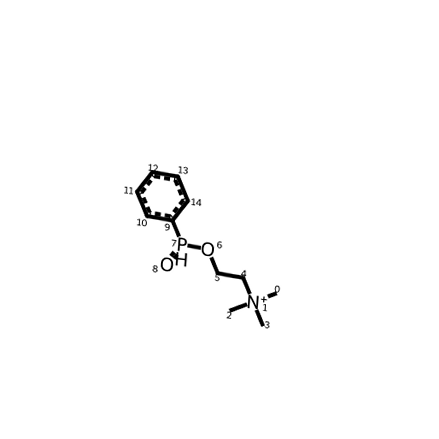 C[N+](C)(C)CCO[PH](=O)c1ccccc1